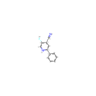 N#Cc1cc(-c2ccccc2)ncc1F